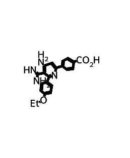 CCOc1ccc(-c2nc(-c3ccc(C(=O)O)cc3)cc(N)c2C(=N)N)cc1